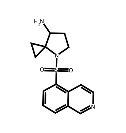 NC1CCN(S(=O)(=O)c2cccc3cnccc23)C12CC2